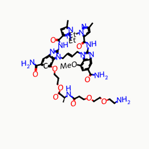 CCn1nc(C)cc1C(=O)Nc1nc2cc(C(N)=O)cc(OC)c2n1C/C=C/Cn1c(NC(=O)c2cc(C)nn2CC)nc2cc(C(N)=O)cc(OCCCOC(=O)[C@H](C)NC(=O)CCOCCOCCN)c21